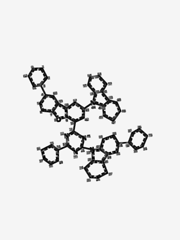 c1ccc(-c2ccc3oc4c(-c5nc(-c6ccccc6)nc(-n6c7ccccc7c7cc(-c8ccccc8)ccc76)n5)cc(-n5c6ccccc6c6ccccc65)cc4c3c2)cc1